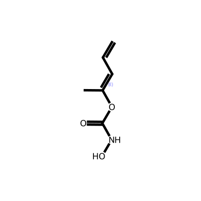 C=C/C=C(\C)OC(=O)NO